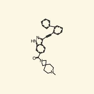 CN1CCC2(CC1)CN(C(=O)c1ccc3c(C#Cc4ccccc4-c4ccccc4)n[nH]c3c1)C2